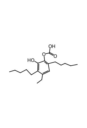 CCCCCc1cc(CC)c(CCCCC)c(O)c1OC(=O)O